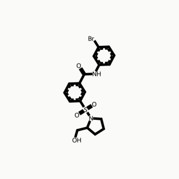 O=C(Nc1cccc(Br)c1)c1cccc(S(=O)(=O)N2CCCC2CO)c1